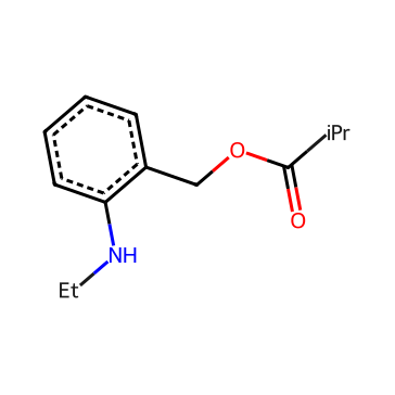 CCNc1ccccc1COC(=O)C(C)C